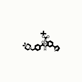 CC(C)(C)OC(=O)Nc1ccc(-c2cccs2)cc1NC(=O)c1ccc(CN2CC[Si](C)(C)CC2)cc1